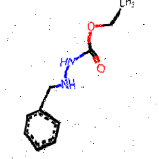 CCOC(=O)NNCc1ccccc1